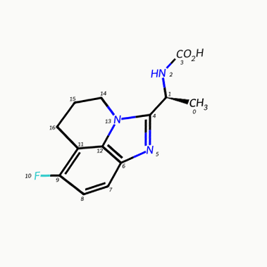 C[C@H](NC(=O)O)c1nc2ccc(F)c3c2n1CCC3